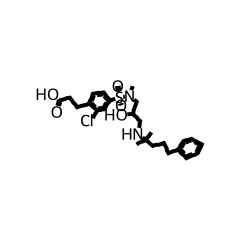 CN(CC(O)CNC(C)(C)CCCc1ccccc1)S(=O)(=O)c1ccc(CCC(=O)O)c(Cl)c1